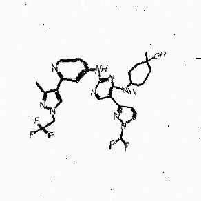 Cc1nn(CC(F)(F)F)cc1-c1cc(Nc2ncc(-c3ccn(C(F)F)n3)c(NC3CCC(C)(O)CC3)n2)ccn1